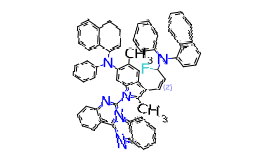 Cc1cc2c(/C=C\C(F)N(c3ccccc3)c3cccc4ccccc34)c(C)n(-c3nc4ccccc4c4nc5ccccc5n34)c2cc1N(C1=CCCc2ccccc21)c1ccccc1